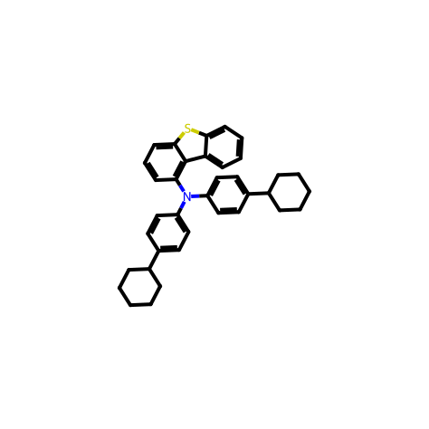 c1ccc2c(c1)sc1cccc(N(c3ccc(C4CCCCC4)cc3)c3ccc(C4CCCCC4)cc3)c12